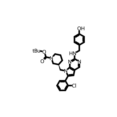 CC(C)(C)OC(=O)N1CCC[C@@H](Cn2c(-c3ccccc3Cl)cc3cnc(NCc4ccc(O)cc4)nc32)C1